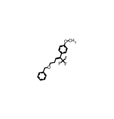 COc1ccc(C(=CCCOCc2ccccc2)C(F)(F)F)cc1